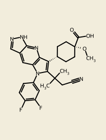 CO[C@]1(C(=O)O)CC[C@H](c2c(C(C)(C)CC#N)n(-c3ccc(F)c(F)c3)c3cc4cn[nH]c4nc32)CC1